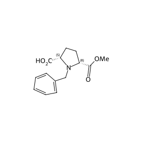 COC(=O)[C@H]1CC[C@@H](C(=O)O)N1Cc1ccccc1